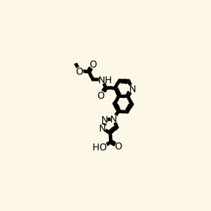 COC(=O)CNC(=O)c1ccnc2ccc(-n3cc(C(=O)O)nn3)cc12